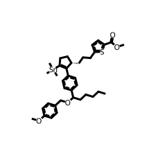 CCCCCC(OCc1ccc(OC)cc1)c1ccc(C2=[C]([Sn]([CH3])([CH3])[CH3])CC[C@@H]2CCCc2ccc(C(=O)OC)s2)cc1